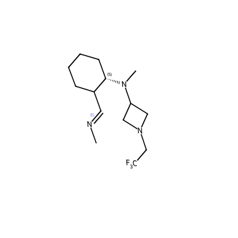 C/N=C/C1CCCC[C@@H]1N(C)C1CN(CC(F)(F)F)C1